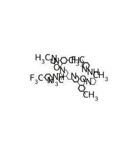 Cc1ccc(-c2ccnc(CC3CCN(C(=O)c4cc(C)ccc4-n4ccc(C)n4)[C@H](CNc4ccc(C(F)(F)F)cn4)[C@@H]3C)c2)c(C(=O)N2CCC[C@@H](C)[C@H]2CNc2ccc(C(F)(F)F)cn2)c1